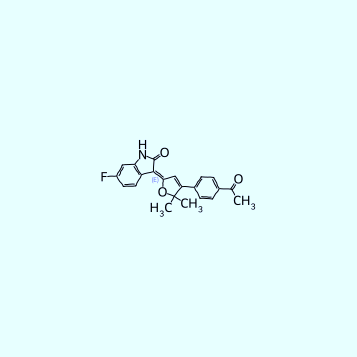 CC(=O)c1ccc(C2=C/C(=C3\C(=O)Nc4cc(F)ccc43)OC2(C)C)cc1